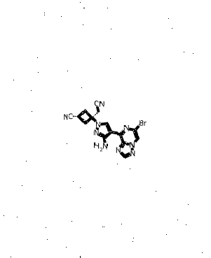 N#CC[C@]1(n2cc(-c3nc(Br)cn4ncnc34)c(N)n2)C[C@H](C#N)C1